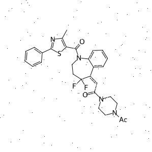 CC(=O)N1CCN(C(=O)C=C2c3ccccc3N(C(=O)c3sc(-c4ccccc4)nc3C)CCC2(F)F)CC1